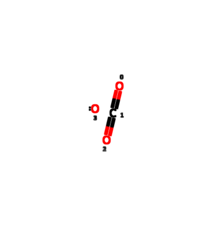 O=C=O.[O]